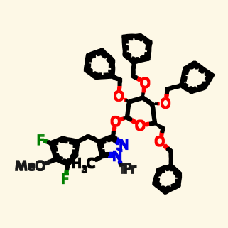 COc1c(F)cc(Cc2c(O[C@@H]3O[C@H](COCc4ccccc4)[C@@H](OCc4ccccc4)[C@H](OCc4ccccc4)[C@H]3OCc3ccccc3)nn(C(C)C)c2C)cc1F